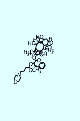 CC1=C2[C@@H](O)C(=O)[C@@]3(C)C([C@H](C)[C@](O)(C[C@@H]1OC(=O)[C@H](OC(=O)CCCN1CCOCC1)[C@@H](C)c1ccccc1)C2(C)C)[C@]1(C)CO[C@@H]1C[C@@H]3O